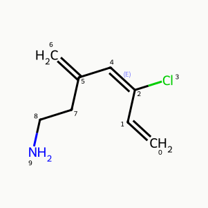 C=C/C(Cl)=C\C(=C)CCN